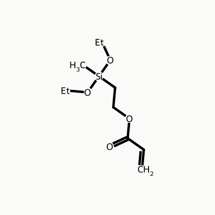 C=CC(=O)OCC[Si](C)(OCC)OCC